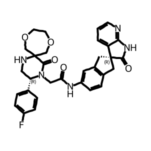 O=C(CN1C(=O)C2(COCCOC2)NC[C@H]1c1ccc(F)cc1)Nc1ccc2c(c1)C[C@@]1(C2)C(=O)Nc2ncccc21